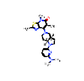 Cc1nc2c(N3CC[C@H]4[C@H](CCN4c4cccc(N(C)C)n4)C3)c(C#N)c(=O)n(C)c2s1